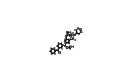 CC(c1cccc(C(=O)c2ccccc2)c1)c1nc(/N=C(/N)NCCN2CCOCC2)n(C)n1.Cl